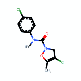 CC1=C(Cl)CN(C(=O)N(c2ccc(Cl)cc2)C(C)C)O1